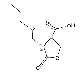 CCCOC[C@H]1C(=O)OCN1C(=O)O